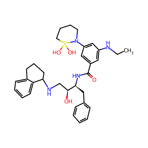 CCNc1cc(C(=O)N[C@@H](Cc2ccccc2)[C@@H](O)CNC2CCCc3ccccc32)cc(N2CCCCS2(O)O)c1